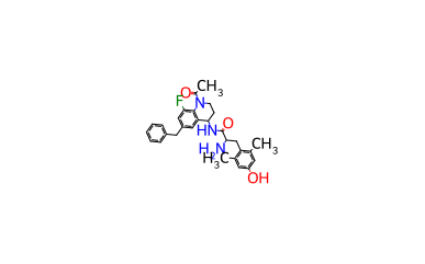 CC(=O)N1CCC(NC(=O)C(N)Cc2c(C)cc(O)cc2C)c2cc(Cc3ccccc3)cc(F)c21